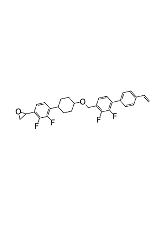 C=Cc1ccc(-c2ccc(COC3CCC(c4ccc(C5CO5)c(F)c4F)CC3)c(F)c2F)cc1